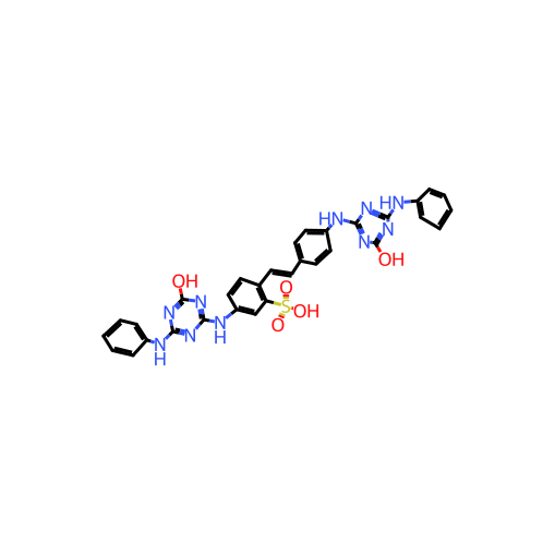 O=S(=O)(O)c1cc(Nc2nc(O)nc(Nc3ccccc3)n2)ccc1C=Cc1ccc(Nc2nc(O)nc(Nc3ccccc3)n2)cc1